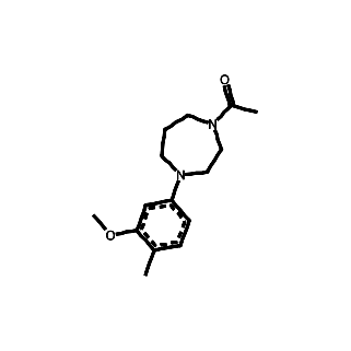 COc1cc(N2CCCN(C(C)=O)CC2)ccc1C